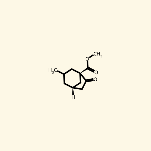 COC(=O)[C@@]12CC(C)C[C@@H](CC1=O)C2